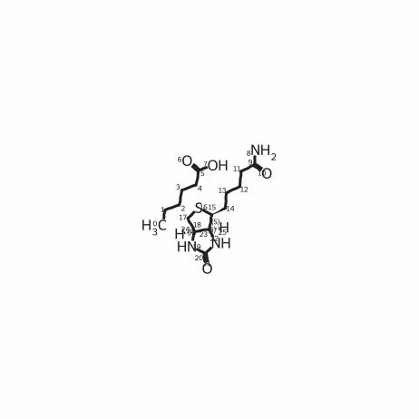 CCCCCC(=O)O.NC(=O)CCCC[C@@H]1SC[C@@H]2NC(=O)N[C@@H]21